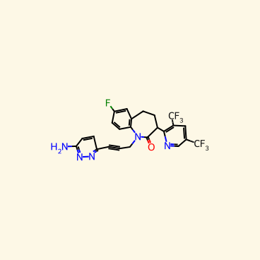 Nc1ccc(C#CCN2C(=O)C(c3ncc(C(F)(F)F)cc3C(F)(F)F)CCc3cc(F)ccc32)nn1